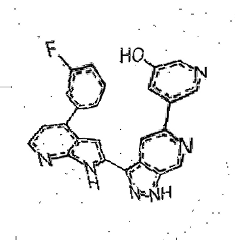 Oc1cncc(-c2cc3c(-c4cc5c(-c6cccc(F)c6)ccnc5[nH]4)n[nH]c3cn2)c1